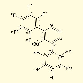 CC(C)(C)c1c(-c2c(F)c(F)c(F)c(F)c2F)cccc1-c1c(F)c(F)c(F)c(F)c1F